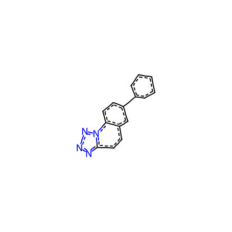 c1ccc(-c2ccc3c(ccc4nnnn43)c2)cc1